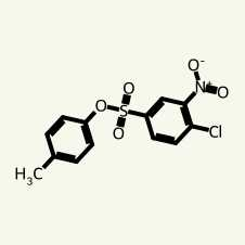 Cc1ccc(OS(=O)(=O)c2ccc(Cl)c([N+](=O)[O-])c2)cc1